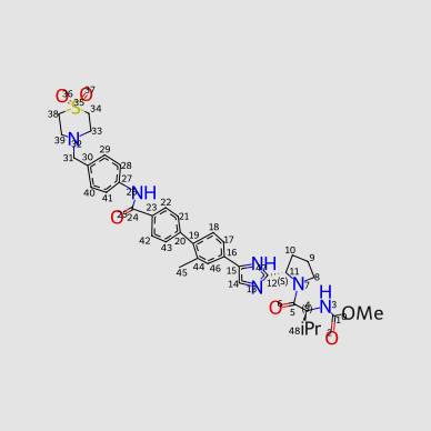 COC(=O)N[C@H](C(=O)N1CCC[C@H]1c1ncc(-c2ccc(-c3ccc(C(=O)Nc4ccc(CN5CCS(=O)(=O)CC5)cc4)cc3)c(C)c2)[nH]1)C(C)C